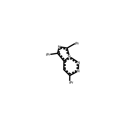 CC(C)c1cc2c(C(C)C)nc(C(C)C)n2nn1